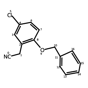 N#CCc1cc(Cl)ccc1OCc1ccccc1